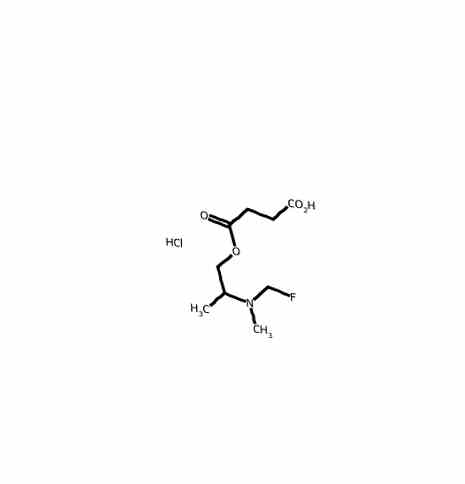 CC(COC(=O)CCC(=O)O)N(C)CF.Cl